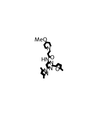 COC1CCN(CCC(=O)Nc2cc(-n3nc(C)cc3C)nc(-c3ccc(C)o3)n2)CC1